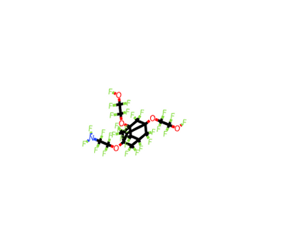 FOC(F)(F)C(F)(F)OC12C(F)(F)C3(F)C(F)(F)C(OC(F)(F)C(F)(F)OF)(C1(F)F)C(F)(F)C(OC(F)(F)C(F)(F)N(F)F)(C3(F)F)C2(F)F